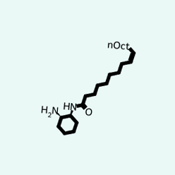 CCCCCCCC/C=C\CCCCCCCC(=O)N[C@H]1CCCC[C@@H]1N